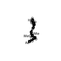 COc1cc(-c2cn(C)c(=O)c3cc(C(=O)NC4CCN(C(C)=O)CC4)sc23)cc(OC)c1CN1CCC(CCN2CCN(c3ccc4c(c3)C(=O)N(C3CCC(=O)NC3=O)C4=O)CC2)CC1